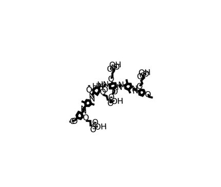 CCOc1ccc(N=Nc2cc(C)c(N=Nc3cc(OCCCS(=O)(=O)O)c(NC(=O)Nc4cc(OC)c(N=Nc5cc(C)c(N=Nc6ccc(OCC)cc6OCCCS(=O)(=O)O)cc5C)cc4OCCCS(=O)(=O)O)cc3OC)cc2C)c(OCCCS(=O)(=O)O)c1